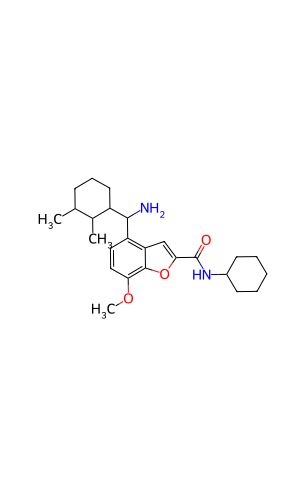 COc1ccc(C(N)C2CCCC(C)C2C)c2cc(C(=O)NC3CCCCC3)oc12